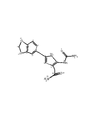 NC(=O)Nc1[nH]c(-c2ccc3c(c2)OCO3)cc1C(N)=O